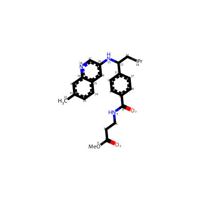 COC(=O)CCNC(=O)c1ccc(C(CC(C)C)Nc2cnc3cc(C)ccc3c2)cc1